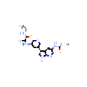 CNC(=O)Nc1cnc2[nH]cc(-c3cncc(NC(C(=O)NCC(F)(F)F)C(C)C)c3)c2c1